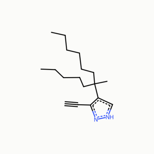 C#Cc1n[nH]cc1C(C)(CCCCC)CCCCCC